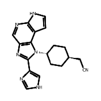 N#CC[C@H]1CC[C@H](n2c(-c3c[nH]cn3)nc3cnc4[nH]ccc4c32)CC1